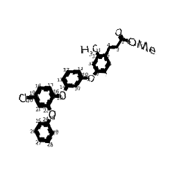 COC(=O)CCc1ccc(Oc2cccc(Oc3ccc(Cl)cc3Oc3ccccc3)c2)cc1C